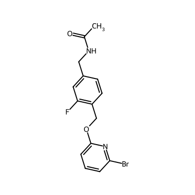 CC(=O)NCc1ccc(COc2cccc(Br)n2)c(F)c1